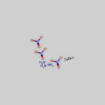 O=[N+]([O-])[O-].O=[N+]([O-])[O-].O=[N+]([O-])[O-].[Ce+3].[Ce+3].[NH2-].[NH2-].[NH2-]